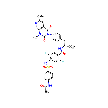 COc1cc2c(=O)n(-c3ccc(C[C@H](NC(=O)c4cc(F)c(NS(=O)(=O)c5ccc(NC(=O)C(C)(C)C)cc5)cc4F)C(=O)O)cc3)c(=O)n(C)c2cn1